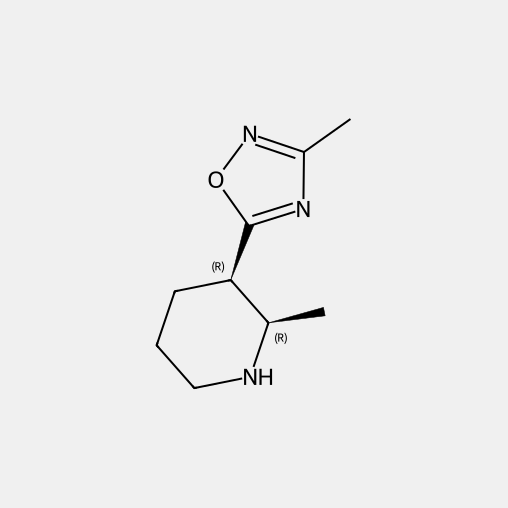 Cc1noc([C@@H]2CCCN[C@@H]2C)n1